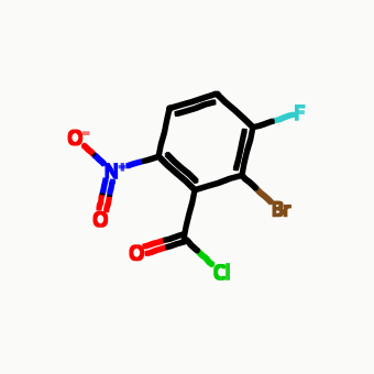 O=C(Cl)c1c([N+](=O)[O-])ccc(F)c1Br